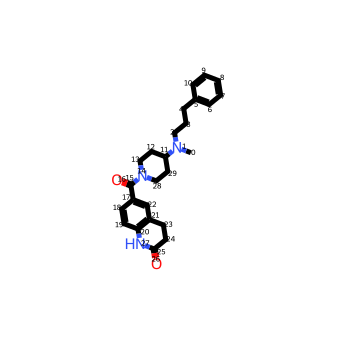 CN(CCCc1ccccc1)C1CCN(C(=O)c2ccc3c(c2)CCC(=O)N3)CC1